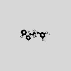 Nc1c(C(=O)N2CCC[C@@H]2c2ccccc2Cl)nnn1Cc1cc(C(F)(F)F)cc(C(F)(F)F)c1